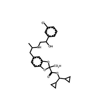 CC(Cc1ccc2c(c1)OC(C(=O)O)(C(=O)OC(C1CC1)C1CC1)O2)NCC(O)c1cccc(Cl)c1